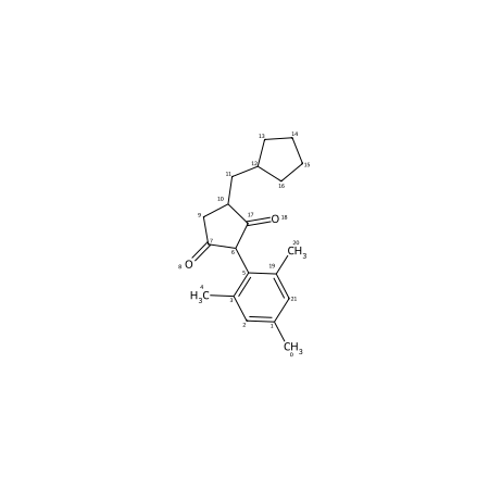 Cc1cc(C)c(C2C(=O)CC(CC3CCCC3)C2=O)c(C)c1